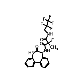 C[C@](F)(C(=O)NCC(F)(F)C(F)(F)F)C(=O)N[C@H]1C(=O)Nc2ccccc2-c2ccccc21